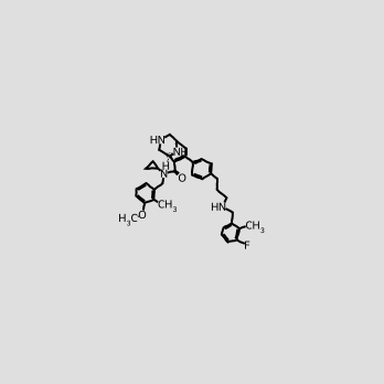 COc1cccc(CN(C(=O)C2=C(c3ccc(CCCNCc4cccc(F)c4C)cc3)CC3CNC[C@H]2N3)C2CC2)c1C